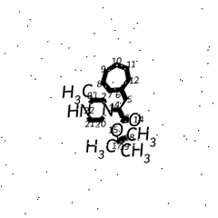 C[C@H]1CN([C@@H](CC2CCCCCC2)C(=O)OC(C)(C)C)CCN1